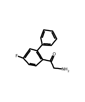 NCC(=O)c1ccc(F)cc1-c1ccccc1